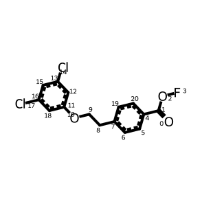 O=C(OF)c1ccc(CCOc2cc(Cl)cc(Cl)c2)cc1